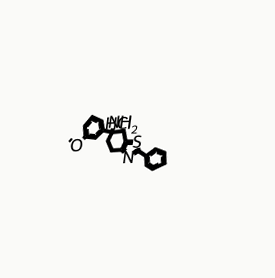 COc1cccc(C2(N)CCc3nc(-c4ccccc4)sc3C2)c1.Cl